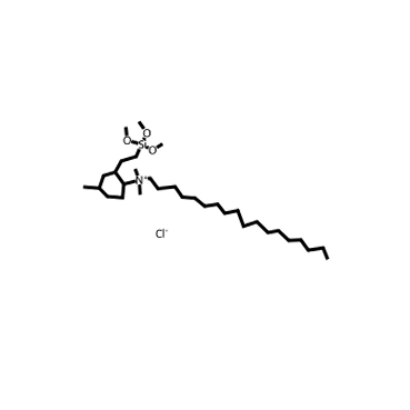 CCCCCCCCCCCCCCCCCC[N+](C)(C)C1CCC(C)CC1CC[Si](OC)(OC)OC.[Cl-]